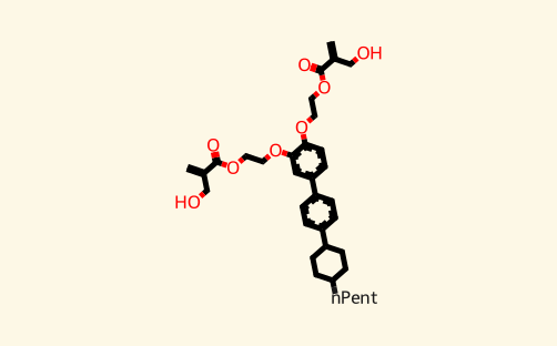 C=C(CO)C(=O)OCCOc1ccc(-c2ccc(C3CCC(CCCCC)CC3)cc2)cc1OCCOC(=O)C(=C)CO